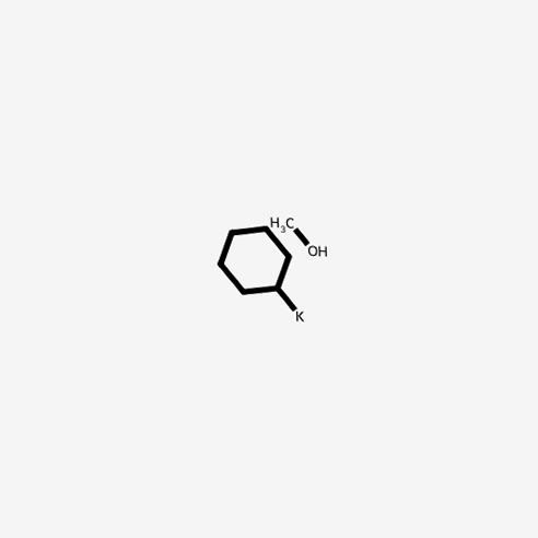 CO.[K][CH]1CCCCC1